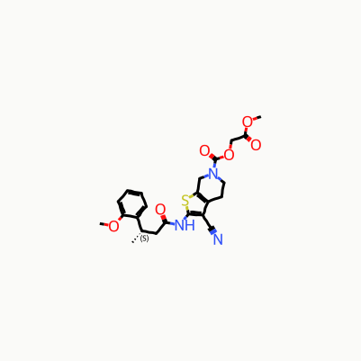 COC(=O)COC(=O)N1CCc2c(sc(NC(=O)C[C@H](C)c3ccccc3OC)c2C#N)C1